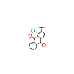 CC(C)(C)c1ccc2c(c1Cl)C(=O)c1ccccc1C2=O